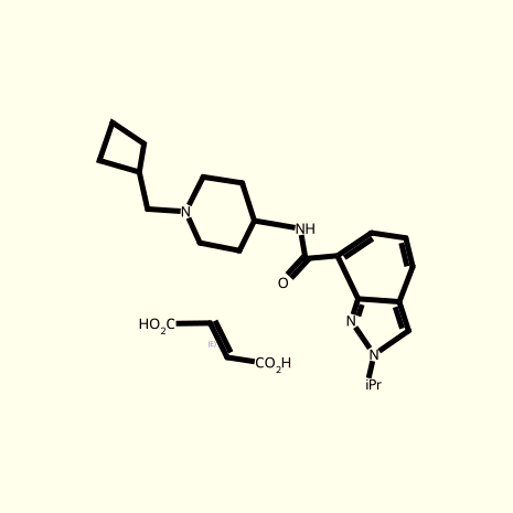 CC(C)n1cc2cccc(C(=O)NC3CCN(CC4CCC4)CC3)c2n1.O=C(O)/C=C/C(=O)O